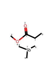 CCC(=O)OC.[CH3][Sb]([CH3])[CH3]